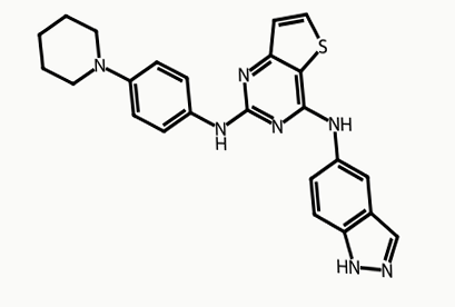 c1cc2nc(Nc3ccc(N4CCCCC4)cc3)nc(Nc3ccc4[nH]ncc4c3)c2s1